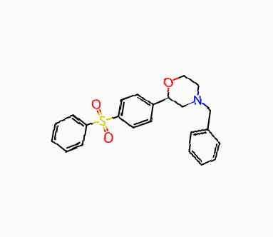 O=S(=O)(c1ccccc1)c1ccc(C2CN(Cc3ccccc3)CCO2)cc1